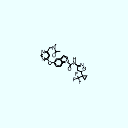 CC(=O)N(C)Cc1cc(Oc2ccc3c(ccn3C(=O)NC3=NOC(C4(C(F)(F)F)CC4)C3)c2)ncn1